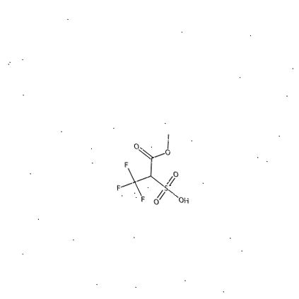 COC(=O)C(C(F)(F)F)S(=O)(=O)O